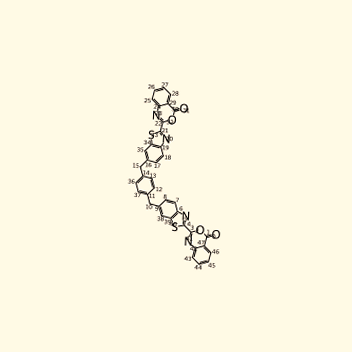 O=c1oc(-c2nc3ccc(Cc4ccc(Cc5ccc6nc(-c7nc8ccccc8c(=O)o7)sc6c5)cc4)cc3s2)nc2ccccc12